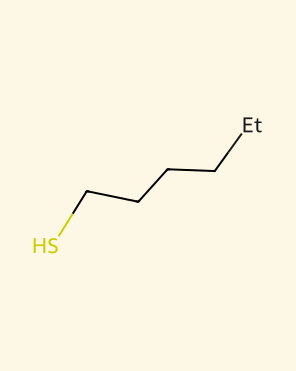 [CH2]CCCCCS